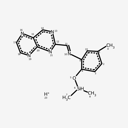 Cc1ccc(O[SiH](C)C)c(N=Cc2ncc3nccnc3n2)c1.[H+]